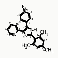 Cc1cc(C)c(-c2nc(-c3ccccn3)c(-c3ccc(F)cc3)[nH]2)c(C)c1